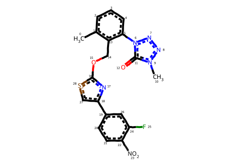 Cc1cccc(-n2nnn(C)c2=O)c1COc1nc(-c2ccc([N+](=O)[O-])c(F)c2)cs1